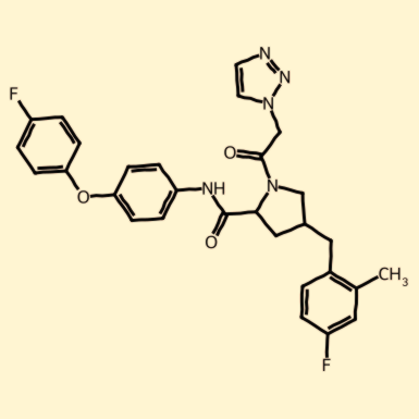 Cc1cc(F)ccc1CC1CC(C(=O)Nc2ccc(Oc3ccc(F)cc3)cc2)N(C(=O)Cn2ccnn2)C1